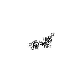 CCCc1nc(CC(NC(=O)OCc2ccccc2)C(=O)OC)cn1Cc1ccc(-c2ccccc2-c2nnnn2C(c2ccccc2)(c2ccccc2)c2ccccc2)cc1